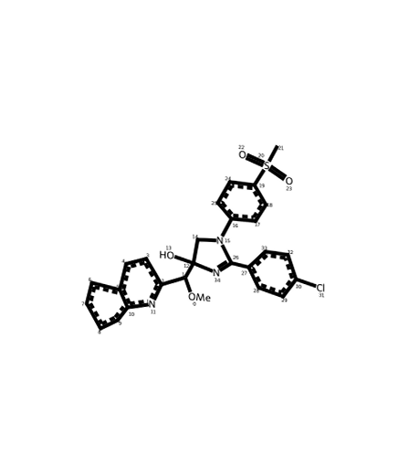 COC(c1ccc2ccccc2n1)C1(O)CN(c2ccc(S(C)(=O)=O)cc2)C(c2ccc(Cl)cc2)=N1